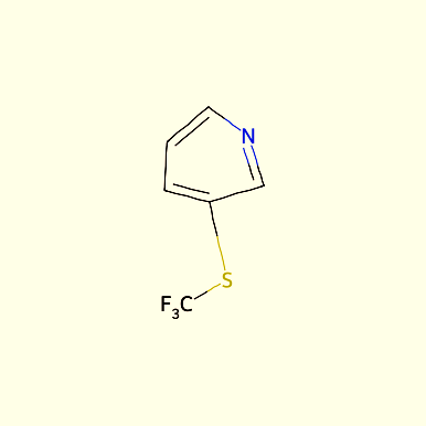 FC(F)(F)Sc1cccnc1